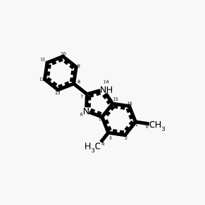 Cc1cc(C)c2nc(-c3ccccc3)[nH]c2c1